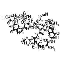 CC(C)C(=O)Nc1nc2c(ncn2[C@@H]2O[C@H](COP(=S)(N[C@H]3C(O[Si](C)(C)C(C)(C)C)[C@H](n4cnc5c(=O)[nH]c(NC(=O)C(C)C)nc54)O[C@@H]3COP(OCCC#N)N(C(C)C)C(C)C)OCCC#N)[C@@H](N)C2O[Si](C)(C)C(C)(C)C)c(=O)[nH]1